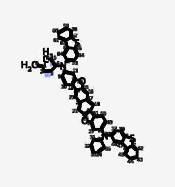 C=C/C=C\C(=C/C)N(c1ccc2c(c1)oc1cc3cc4c(cc3cc12)oc1cc(N(c2ccccc2)c2ccc3sc5ccccc5c3c2)ccc14)c1ccc2sc3ccccc3c2c1